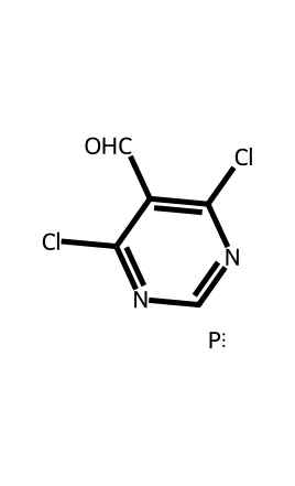 O=Cc1c(Cl)ncnc1Cl.[P]